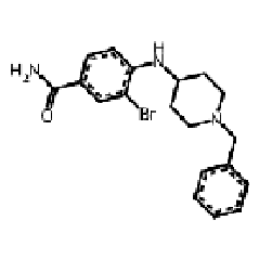 NC(=O)c1ccc(NC2CCN(Cc3ccccc3)CC2)c(Br)c1